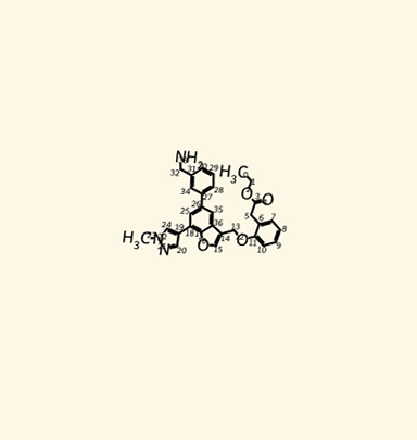 CCOC(=O)Cc1ccccc1OCc1coc2c(-c3cnn(C)c3)cc(-c3cccc(CN)c3)cc12